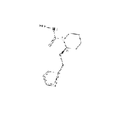 O=C(NO)[C@@H]1CCCC[C@H]1SCc1ccccc1